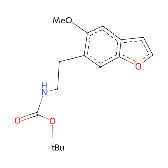 COc1cc2ccoc2cc1CCNC(=O)OC(C)(C)C